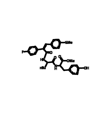 CCCCC(NC(=O)/C(=C\c1ccc(SC)cc1)c1ccc(F)cc1)C(=O)NC(Cc1ccc(O)cc1)C(=O)OC